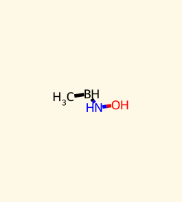 CBNO